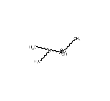 CCCCCCCCCOP(=O)(O)OCCCCCN(CCCCCCCC)CCCCCCCC